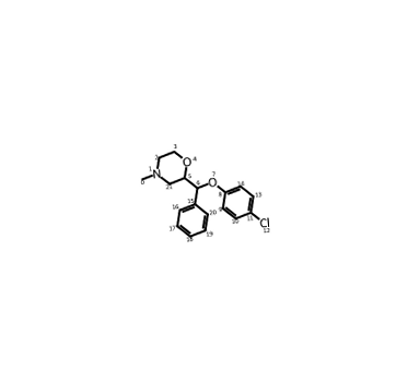 CN1CCOC(C(Oc2ccc(Cl)cc2)c2ccccc2)C1